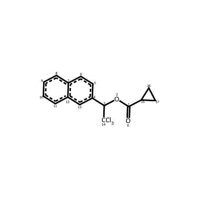 O=C(OC(c1ccc2ccccc2c1)C(Cl)(Cl)Cl)C1CC1